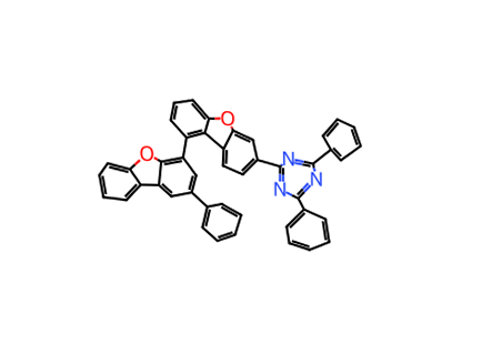 c1ccc(-c2cc(-c3cccc4oc5cc(-c6nc(-c7ccccc7)nc(-c7ccccc7)n6)ccc5c34)c3oc4ccccc4c3c2)cc1